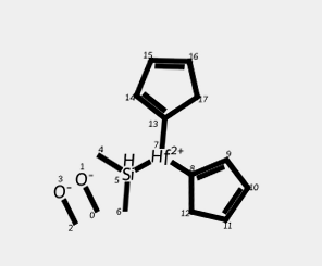 C[O-].C[O-].C[SiH](C)[Hf+2]([C]1=CC=CC1)[C]1=CC=CC1